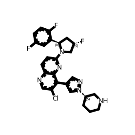 Fc1ccc(F)c([C@H]2C[C@H](F)CN2c2ccc3ncc(Cl)c(-c4cnn([C@H]5CCCNC5)c4)c3n2)c1